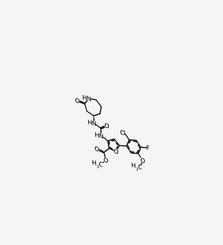 COC(=O)c1oc(-c2cc(OC)c(F)cc2Cl)cc1NC(=O)N[C@@H]1CCCNC(=O)C1